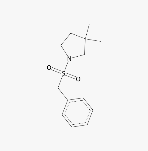 CC1(C)CCN(S(=O)(=O)Cc2ccccc2)C1